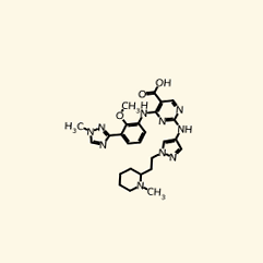 COc1c(Nc2nc(Nc3cnn(CCC4CCCCN4C)c3)ncc2C(=O)O)cccc1-c1ncn(C)n1